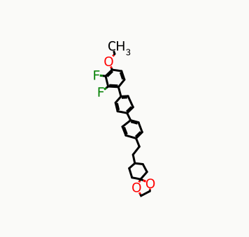 CCOc1ccc(-c2ccc(-c3ccc(CCC4CCC5(CC4)OCCO5)cc3)cc2)c(F)c1F